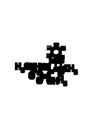 CNC(=O)c1nn(CC2(c3ccccc3)CC(C)(C)C2)cc(O)c1=O